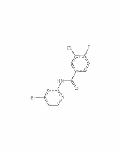 O=C(Nc1cc(Br)ccn1)c1ccc(F)c(Cl)c1